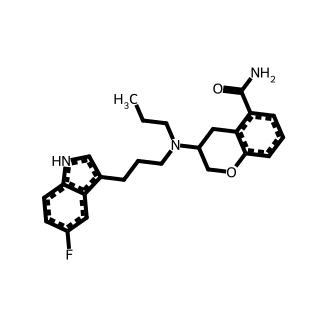 CCCN(CCCc1c[nH]c2ccc(F)cc12)C1COc2cccc(C(N)=O)c2C1